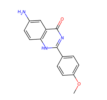 COc1ccc(-c2nc(=O)c3cc(N)ccc3[nH]2)cc1